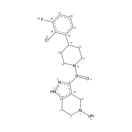 CCCN1CCc2[nH]nc(C(=O)N3CCC(c4cccc(F)c4Cl)CC3)c2C1